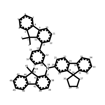 CC1(C)c2ccccc2-c2cccc(-c3cccc(N(c4ccc5c(c4)C4(CCCC4)c4ccccc4-5)c4cccc5c4C(C)(C)c4ccccc4-5)c3)c21